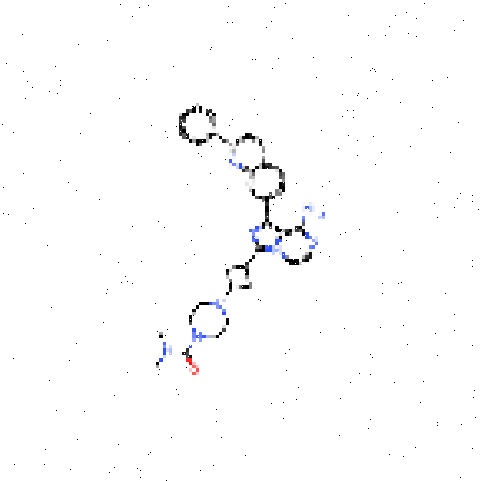 CN(C)C(=O)N1CCN(C2CC(c3nc(-c4ccc5ccc(-c6ccccc6)nc5c4)c4c(N)nccn34)C2)CC1